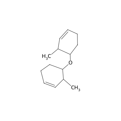 CC1C=CCCC1OC1CCC=CC1C